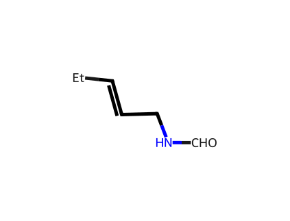 CCC=CCNC=O